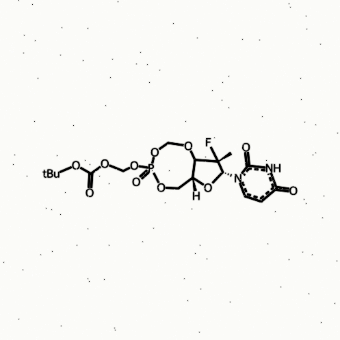 CC(C)(C)OC(=O)OCOP1(=O)OCOC2[C@@H](CO1)O[C@@H](n1ccc(=O)[nH]c1=O)[C@@]2(C)F